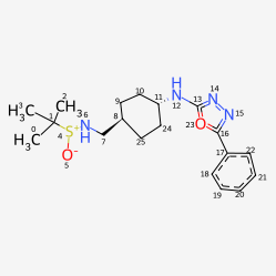 CC(C)(C)[S+]([O-])NC[C@H]1CC[C@H](Nc2nnc(-c3ccccc3)o2)CC1